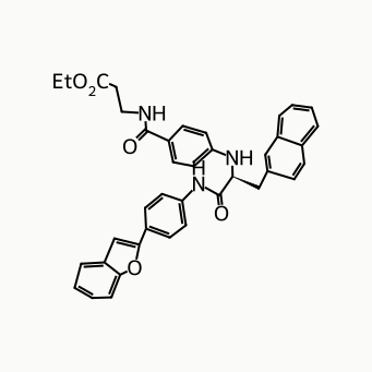 CCOC(=O)CCNC(=O)c1ccc(N[C@@H](Cc2ccc3ccccc3c2)C(=O)Nc2ccc(-c3cc4ccccc4o3)cc2)cc1